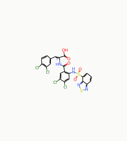 O=C(O)/C(=C/c1ccc(Cl)c(Cl)c1)NC(=O)c1cc(Cl)c(Cl)cc1NS(=O)(=O)c1cccc2nsnc12